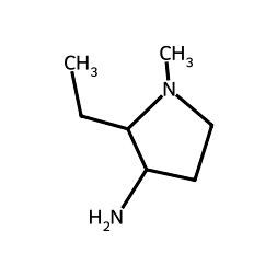 CCC1C(N)CCN1C